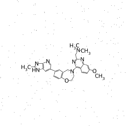 COc1ccc2c(N3CCOc4ccc(-c5cnc6nc(C)[nH]c6c5)cc4C3)nc(CN(C)C)nc2c1